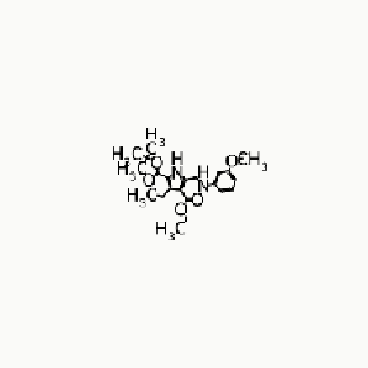 CCOC(=O)c1c(CNc2cccc(OC)c2)[nH]c(C(=O)OC(C)(C)C)c1CC